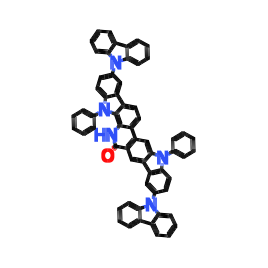 O=c1[nH]c2c(ccc3c4cc(-n5c6ccccc6c6ccccc65)ccc4n(-c4ccccc4)c32)c2cc3c(cc12)c1cc(-n2c4ccccc4c4ccccc42)ccc1n3-c1ccccc1